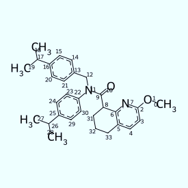 COc1ccc2c(n1)C(C(=O)N(Cc1ccc(C(C)C)cc1)c1ccc(C(C)C)cc1)CCC2